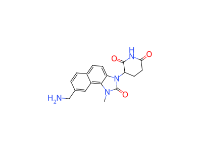 Cn1c(=O)n(C2CCC(=O)NC2=O)c2ccc3ccc(CN)cc3c21